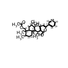 CC(=O)OCC1(C)C2C[C@@H](Cl)[C@@]3(C)Oc4cc(-c5cccnc5)oc(=O)c4[C@H](O)C3[C@@]2(C)CC[C@@H]1C